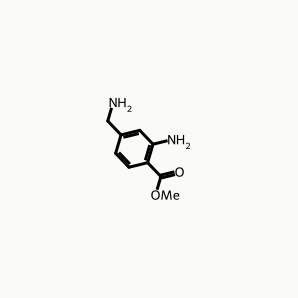 COC(=O)c1ccc(CN)cc1N